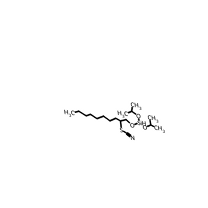 CCCCCCCCC(CO[SiH](OC(C)C)OC(C)C)SC#N